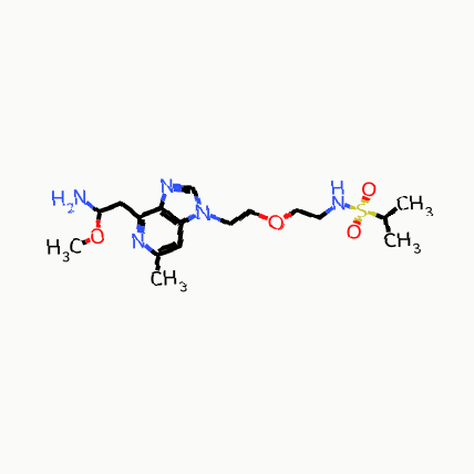 COC(N)Cc1nc(C)cc2c1ncn2CCOCCNS(=O)(=O)C(C)C